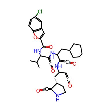 CC(C)C(NC(=O)c1cc2cc(Cl)ccc2o1)C(=C=O)NC(CC1CCCCC1)C(=C=O)NC(C=C=O)C[C@@H]1CCNC1=C=O